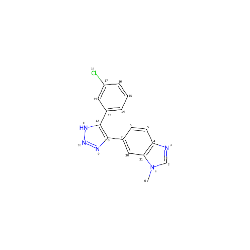 Cn1cnc2ccc(-c3nn[nH]c3-c3cccc(Cl)c3)cc21